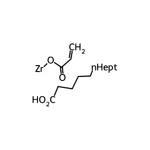 C=CC(=O)[O][Zr].CCCCCCCCCCCC(=O)O